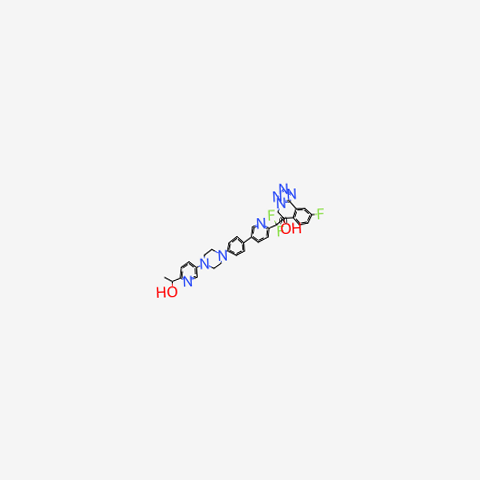 CC(O)c1ccc(N2CCN(c3ccc(-c4ccc(C(F)(F)[C@]5(O)Cn6nnnc6-c6cc(F)ccc65)nc4)cc3)CC2)cn1